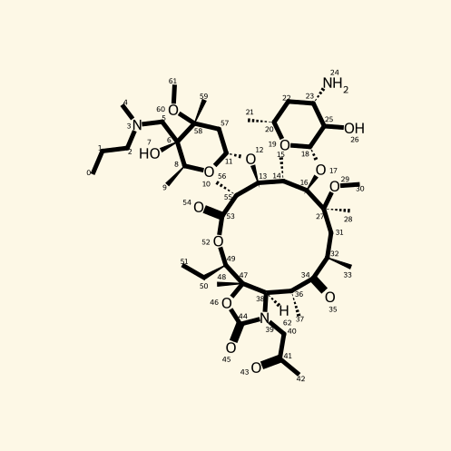 CCCN(C)C[C@@]1(O)[C@H](C)O[C@@H](O[C@H]2[C@H](C)[C@@H](O[C@@H]3O[C@H](C)C[C@H](N)C3O)[C@@](C)(OC)C[C@@H](C)C(=O)[C@H](C)[C@H]3N(CC(C)=O)C(=O)O[C@]3(C)[C@@H](CC)OC(=O)[C@@H]2C)C[C@@]1(C)OC